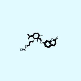 CC(C)=C1CC[C@H](C)[C@](C)(COc2ccc3ccc(=O)oc3c2)[C@H]1CCCOC=O